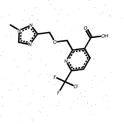 Cn1cnc(COCc2nc(C(F)(F)Cl)ccc2C(=O)O)n1